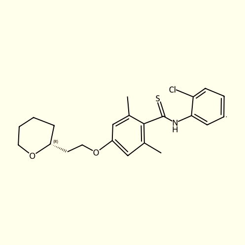 Cc1cc(OCC[C@H]2CCCCO2)cc(C)c1C(=S)Nc1c[c]ccc1Cl